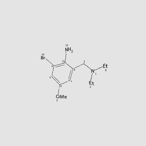 CCN(CC)Cc1cc(OC)cc(Br)c1N